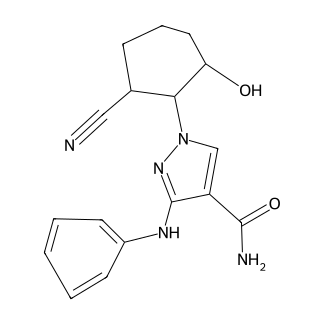 N#CC1CCCC(O)C1n1cc(C(N)=O)c(Nc2ccccc2)n1